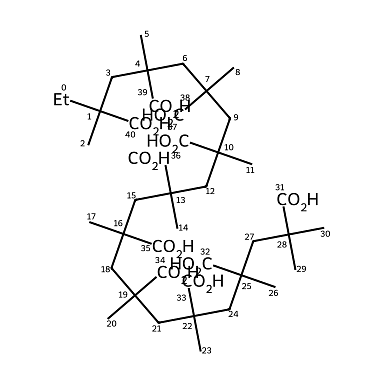 CCC(C)(CC(C)(CC(C)(CC(C)(CC(C)(CC(C)(CC(C)(CC(C)(CC(C)(CC(C)(C)C(=O)O)C(=O)O)C(=O)O)C(=O)O)C(=O)O)C(=O)O)C(=O)O)C(=O)O)C(=O)O)C(=O)O